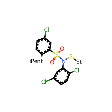 CCC[C@@H](C)c1ccc(Cl)cc1S(=O)(=O)N(SCC)c1cc(Cl)ccc1Cl